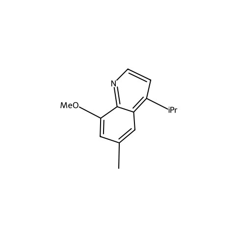 COc1cc(C)cc2c(C(C)C)ccnc12